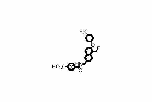 O=C(O)C12CCC(C(=O)NCc3ccc4c(CF)c(O[C@H]5CC[C@@H](C(F)(F)F)CC5)ccc4c3)(CC1)CC2